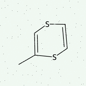 CC1=CSC=CS1